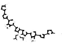 CCCCCCc1ccc(-c2ccc(-c3cnc(-c4cc5c(s4)-c4sc(-c6ncc(-c7ccc(-c8ccc(C)s8)s7)c7nsnc67)cc4[Si]5(CC(CC)CCCC)CC(CC)CCCC)c4nsnc34)s2)s1